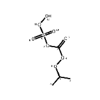 CC(C)OOC(=O)OS(=O)(=O)OO